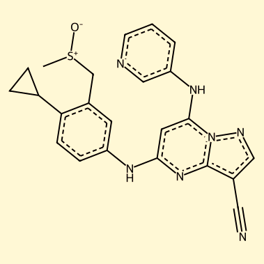 C[S+]([O-])Cc1cc(Nc2cc(Nc3cccnc3)n3ncc(C#N)c3n2)ccc1C1CC1